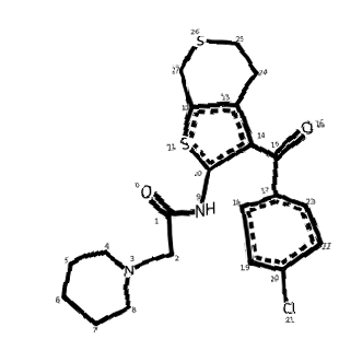 O=C(CN1CCCCC1)Nc1sc2c(c1C(=O)c1ccc(Cl)cc1)CCSC2